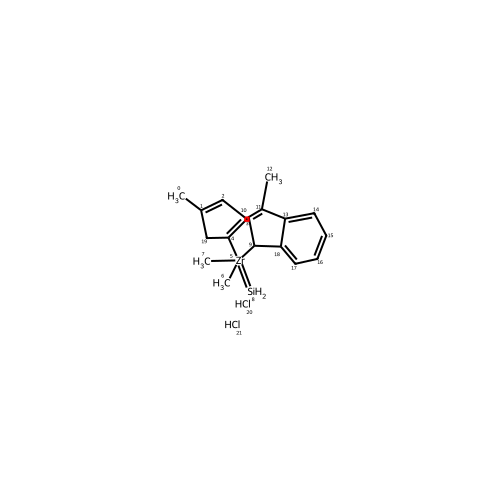 CC1=CC=[C]([Zr]([CH3])([CH3])(=[SiH2])[CH]2C=C(C)c3ccccc32)C1.Cl.Cl